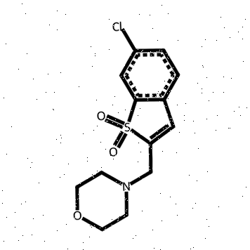 O=S1(=O)C(CN2CCOCC2)=Cc2ccc(Cl)cc21